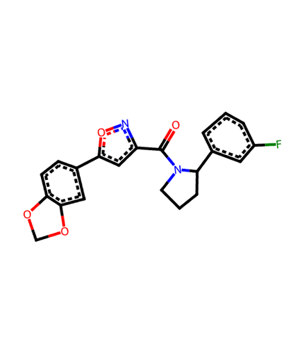 O=C(c1cc(-c2ccc3c(c2)OCO3)on1)N1CCCC1c1cccc(F)c1